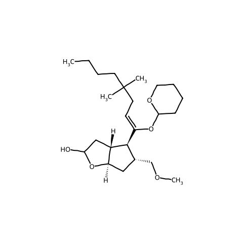 CCCCC(C)(C)CC=C(OC1CCCCO1)[C@H]1[C@H](COC)C[C@H]2OC(O)C[C@H]12